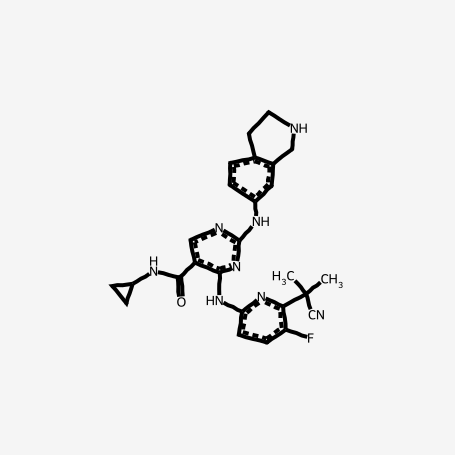 CC(C)(C#N)c1nc(Nc2nc(Nc3ccc4c(c3)CNCC4)ncc2C(=O)NC2CC2)ccc1F